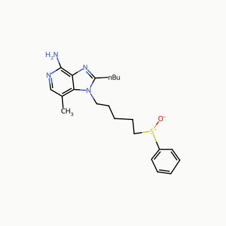 CCCCc1nc2c(N)ncc(C)c2n1CCCCC[S+]([O-])c1ccccc1